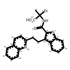 CCC(C)(NC(=O)c1sc2ccccc2c1CCc1ccc2ccccc2n1)C(=O)O